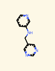 c1cncc(NCc2cncnc2)c1